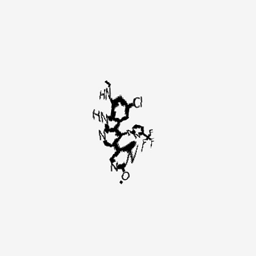 CCNc1cc(Cl)cc2c1[nH]c1ncc(-c3cnc(OC)nc3)c(-n3ccc(C(F)(F)F)n3)c12